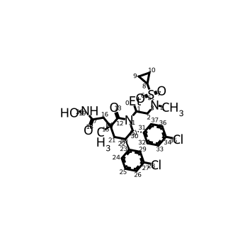 CCC(CN(C)S(=O)(=O)C1CC1)N1C(=O)[C@@](C)(CC(=O)NO)C[C@H](c2cccc(Cl)c2)[C@H]1c1ccc(Cl)cc1